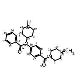 CN1CCN(C(=O)c2ccc(N(C(=O)c3cc[c]cc3)C3CCNCC3)cc2)CC1